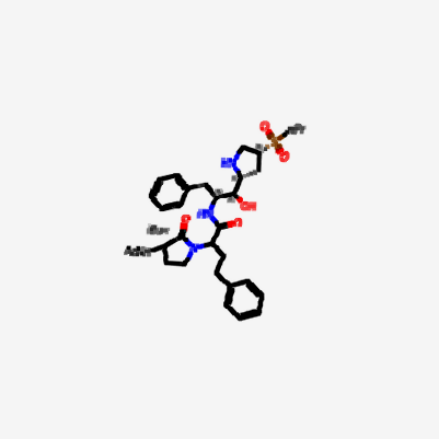 CCCS(=O)(=O)[C@H]1CN[C@@H]([C@@H](O)[C@H](Cc2ccccc2)NC(=O)C(CCc2ccccc2)N2CCC(NC(C)=O)([C@H](C)CC)C2=O)C1